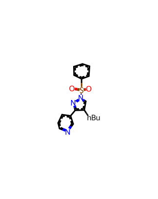 CCCCc1cn(S(=O)(=O)c2ccccc2)nc1-c1cccnc1